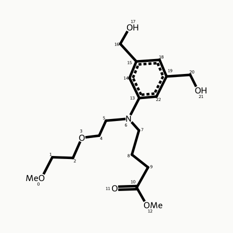 COCCOCCN(CCCC(=O)OC)c1cc(CO)cc(CO)c1